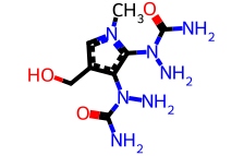 Cn1cc(CO)c(N(N)C(N)=O)c1N(N)C(N)=O